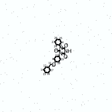 O=c1[nH]c(=O)n(-c2ccc(OCc3ccccc3)cc2)c(=O)n1-c1ccccc1